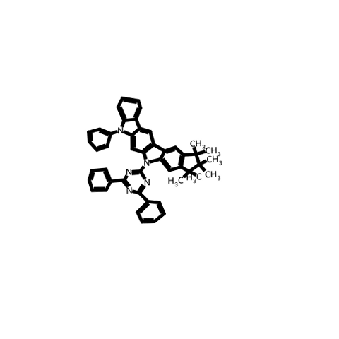 CC1(C)c2cc3c4cc5c6ccccc6n(-c6ccccc6)c5cc4n(-c4nc(-c5ccccc5)nc(-c5ccccc5)n4)c3cc2C(C)(C)C1(C)C